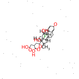 C[C@@H]1C[C@H]2[C@@H]3CCC4=CC(=O)C=C[C@]4(C)[C@@]3(F)[C@@H](O)C[C@]2(C)[C@@]1(O)C(=O)CC(CC(=O)O)C(=O)O